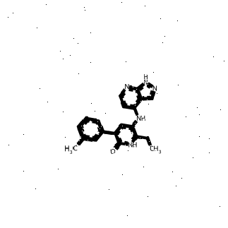 CCc1[nH]c(=O)c(-c2cccc(C)c2)cc1Nc1ccnc2[nH]ncc12